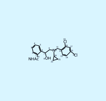 CC(=O)Nc1ccccc1C(O)CN(Cc1ccc(Cl)cc1Cl)C1CC1